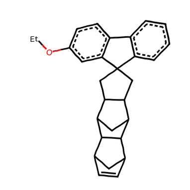 CCOc1ccc2c(c1)C1(CC3C(C1)C1CC3C3C4C=CC(C4)C13)c1ccccc1-2